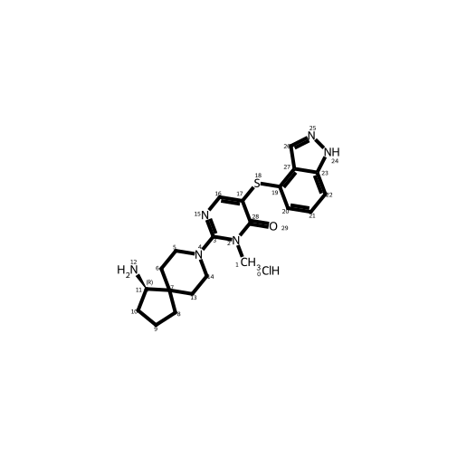 Cl.Cn1c(N2CCC3(CCC[C@H]3N)CC2)ncc(Sc2cccc3[nH]ncc23)c1=O